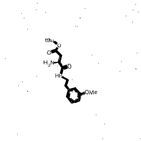 COc1cccc(CCNC(=O)[C@@H](N)CC(=O)OC(C)(C)C)c1